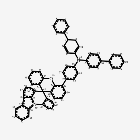 C1=CC(c2ccccc2)CC=C1N(c1ccc(-c2ccccc2)cc1)c1ccc(-c2cccc3c2Oc2ccccc2C32c3ccccc3-n3c4ccccc4c4cccc2c43)cc1